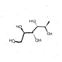 [CH2][C@@H](O)[C@@H](O)[C@H](O)[C@H](O)CO